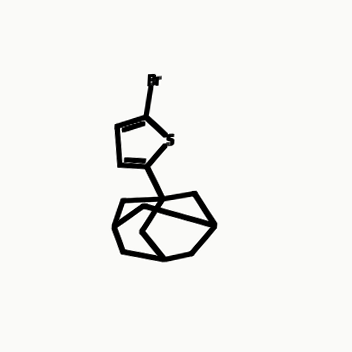 Brc1ccc(C23CC4CC(CC(C4)C2)C3)s1